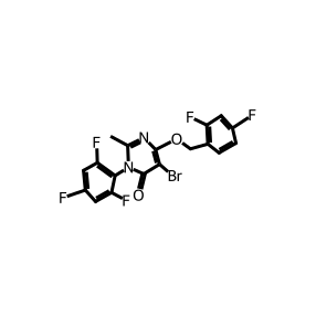 Cc1nc(OCc2ccc(F)cc2F)c(Br)c(=O)n1-c1c(F)cc(F)cc1F